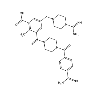 Cc1c(C(=O)O)cc(CN2CCN(C(=N)N)CC2)cc1C(=O)N1CCN(C(=O)c2ccc(C(=N)N)cc2)CC1